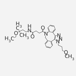 CCOC(C)(C)CCNC(=O)CCC(=O)N1Cc2ccccc2-c2c(nnn2CCCOC)-c2ccccc21